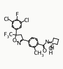 Cc1cc(C2=NOC(c3cc(Cl)c(F)c(Cl)c3)(C(F)(F)F)C2)ccc1C(=O)N=[SH]1(O)CCC1